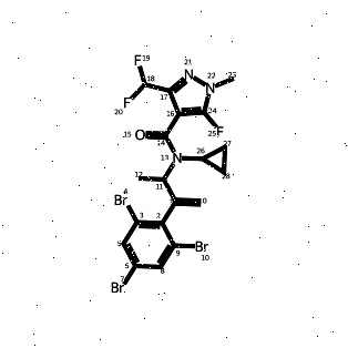 C=C(c1c(Br)cc(Br)cc1Br)C(C)N(C(=O)c1c(C(F)F)nn(C)c1F)C1CC1